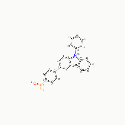 O=[PH2]c1ccc(-c2ccc3c(c2)c2ccccc2n3-c2ccccc2)cc1